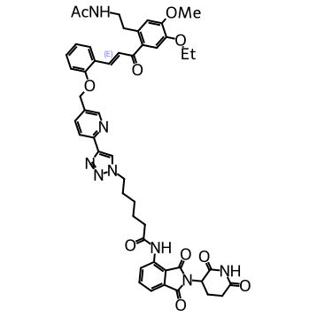 CCOc1cc(C(=O)/C=C/c2ccccc2OCc2ccc(-c3cn(CCCCCC(=O)Nc4cccc5c4C(=O)N(C4CCC(=O)NC4=O)C5=O)nn3)nc2)c(CCNC(C)=O)cc1OC